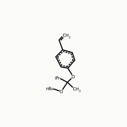 C=Cc1ccc(OC(C)(OCCCC)C(C)C)cc1